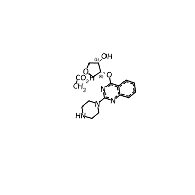 CC(=O)O.O[C@H]1COC[C@H]1Oc1nc(N2CCNCC2)nc2ccccc12